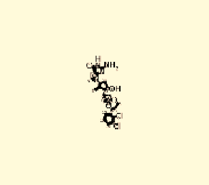 C=C1[C@H](CO[P@]2(=O)OCC[C@H](c3cccc(Cl)c3Cl)O2)[C@@H](O)C[C@@H]1n1cnc2c(=O)[nH]c(N)nc21